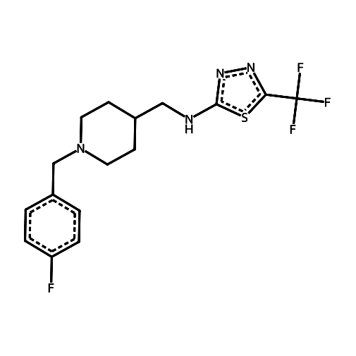 Fc1ccc(CN2CCC(CNc3nnc(C(F)(F)F)s3)CC2)cc1